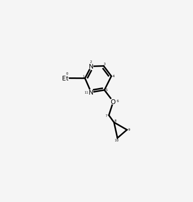 CCc1nccc(OCC2CC2)n1